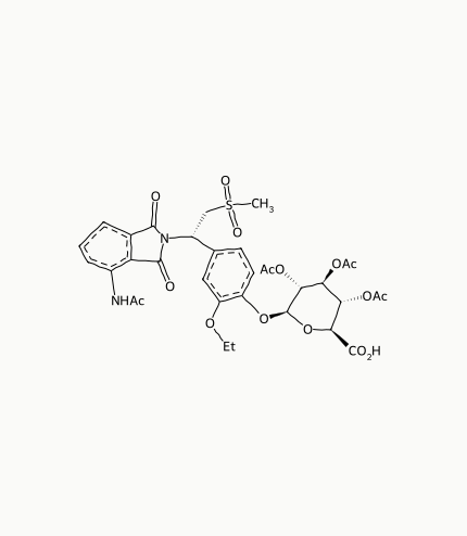 CCOc1cc([C@@H](CS(C)(=O)=O)N2C(=O)c3cccc(NC(C)=O)c3C2=O)ccc1O[C@@H]1O[C@H](C(=O)O)[C@@H](OC(C)=O)[C@H](OC(C)=O)[C@H]1OC(C)=O